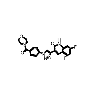 O=C(c1ccc(-n2cc(-c3cc4c(F)cc(F)cc4[nH]c3=O)nn2)cc1)N1CCOCC1